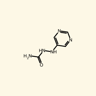 NC(=O)NNc1cncnc1